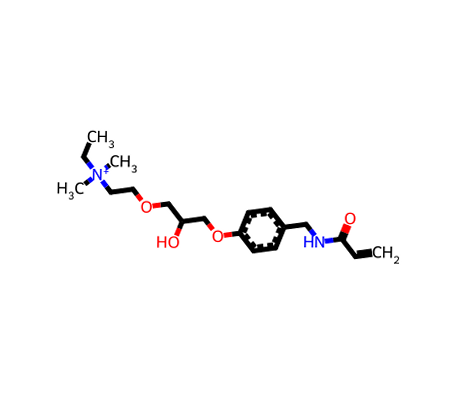 C=CC(=O)NCc1ccc(OCC(O)COCC[N+](C)(C)CC)cc1